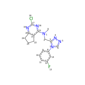 CN(Cc1nncn1-c1cccc(F)c1)c1nc(Cl)nc2c1CCC2